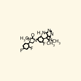 Cc1c(-c2ccc(N3CC(c4ccc(F)cc4F)N(C)C3=O)cc2F)c2c(N)ncnc2n1C